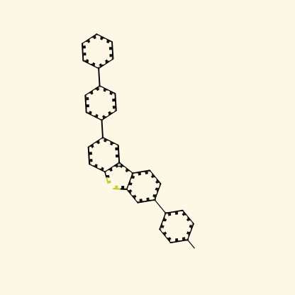 Cc1ccc(-c2ccc3c(c2)sc2ccc(-c4ccc(-c5ccccc5)cc4)cc23)cc1